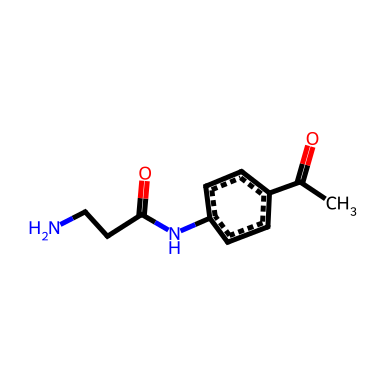 CC(=O)c1ccc(NC(=O)CCN)cc1